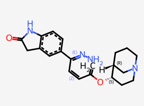 C=C(/C=C\C(=N/N)c1ccc2c(c1)CC(=O)N2)O[C@H]1CCN2CCC[C@@H]1C2